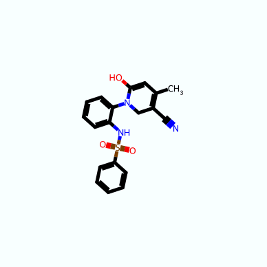 CC1=C(C#N)CN(c2ccccc2NS(=O)(=O)c2ccccc2)C(O)=C1